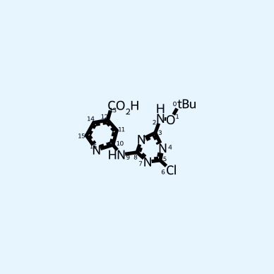 CC(C)(C)ONc1nc(Cl)nc(Nc2cc(C(=O)O)ccn2)n1